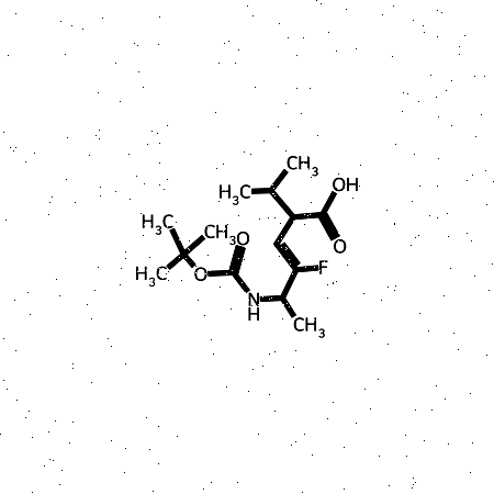 CC(NC(=O)OC(C)(C)C)C(F)=CC(C(=O)O)C(C)C